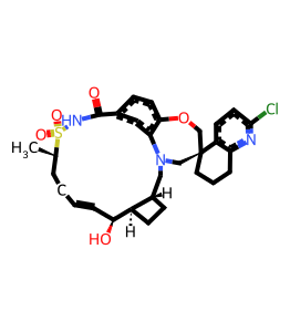 C[C@@H]1CC/C=C/[C@H](O)[C@@H]2CC[C@H]2CN2C[C@@]3(CCCc4nc(Cl)ccc43)COc3ccc(cc32)C(=O)NS1(=O)=O